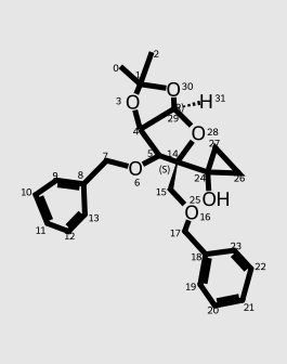 CC1(C)OC2C(OCc3ccccc3)[C@@](COCc3ccccc3)(C3(O)CC3)O[C@@H]2O1